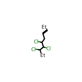 CC/C=C/CC(Cl)C(Cl)C(Cl)CC